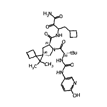 CC(C)(C)[C@H](NC(=O)Nc1ccc(O)nc1)C(=O)N1C[C@]2(C[C@H]1C(=O)NC(CC1CCC1)C(=O)C(N)=O)C(C)(C)C21CCC1